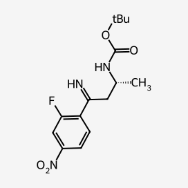 C[C@H](CC(=N)c1ccc([N+](=O)[O-])cc1F)NC(=O)OC(C)(C)C